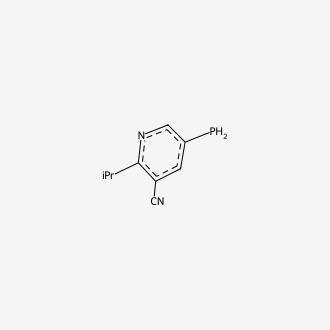 CC(C)c1ncc(P)cc1C#N